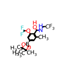 Cc1cc(B2OC(C)(C)C(C)(C)O2)cc(OC(F)F)c1C(O)NCC(F)(F)F